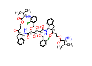 CC(C)[C@H](N)C(=O)OCCC(=O)[C@@H]1Cc2ccccc2[C@H]1NC(=O)[C@H](OCc1ccccc1F)[C@H](O)[C@@H](O)[C@@H](OCc1ccccc1F)C(=O)N[C@@H]1c2ccccc2C[C@H]1C(=O)CCOC(=O)[C@@H](N)C(C)C